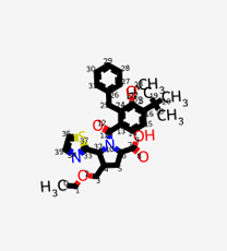 CCOCC1CC(C(=O)O)N(C(=O)c2ccc(C(C)(C)C)c(OC)c2Cc2ccccc2)C1c1nccs1